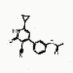 CC(=O)Oc1cccc(-c2cc(C3CC3)[nH]c(=O)c2C#N)c1